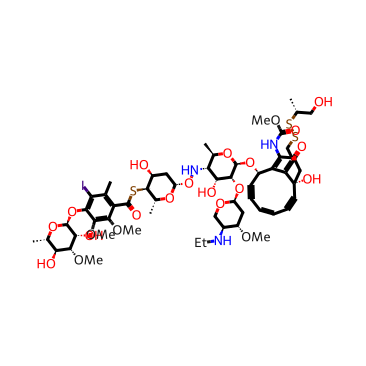 CCN[C@H]1CO[C@@H](O[C@H]2[C@H](O[C@H]3C#C/C=C\C#C[C@]4(O)CC(=O)C(NC(=O)OC)=C3/C4=C\CSS[C@H](C)CO)O[C@H](C)[C@@H](NO[C@H]3C[C@H](O)[C@H](SC(=O)c4c(C)c(I)c(O[C@@H]5O[C@@H](C)[C@H](O)[C@@H](OC)[C@H]5O)c(OC)c4OC)[C@@H](C)O3)[C@H]2O)C[C@@H]1OC